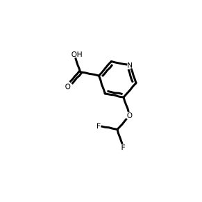 O=C(O)c1cncc(OC(F)F)c1